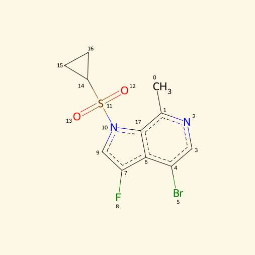 Cc1ncc(Br)c2c(F)cn(S(=O)(=O)C3CC3)c12